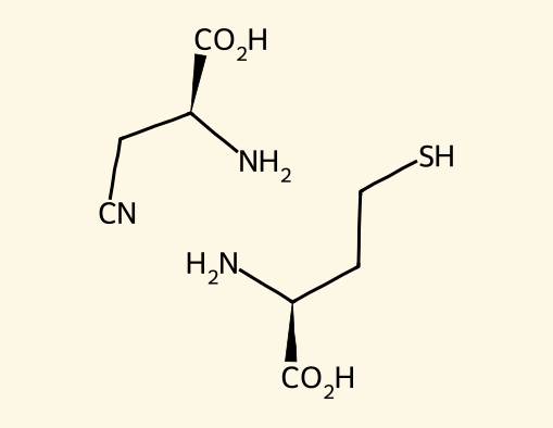 N#CC[C@H](N)C(=O)O.N[C@@H](CCS)C(=O)O